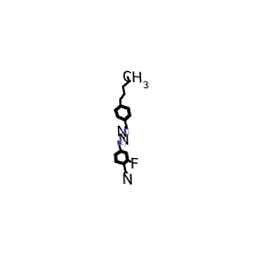 CCCCCc1ccc(/C=N/N=C/c2ccc(C#N)c(F)c2)cc1